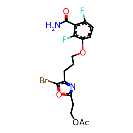 CC(=O)OCCc1nc(CCCOc2ccc(F)c(C(N)=O)c2F)c(Br)o1